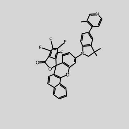 Cc1cnccc1-c1ccc2c(c1)C(C)(C)CN2c1ccc2c(c1)Oc1c(ccc3ccccc13)C21OC(=O)c2c(F)c(F)c(F)c(F)c21